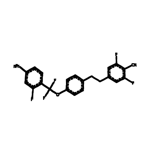 CCCc1ccc(C(F)(F)Oc2ccc(CCc3cc(F)c(C#N)c(F)c3)cc2)c(F)c1